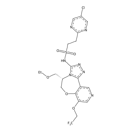 CCOC[C@H]1COc2c(OCC(F)(F)F)cncc2-c2nnc(NS(=O)(=O)CCc3ncc(Cl)cn3)n21